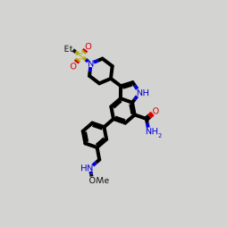 CCS(=O)(=O)N1CCC(c2c[nH]c3c(C(N)=O)cc(-c4cccc(CNOC)c4)cc23)CC1